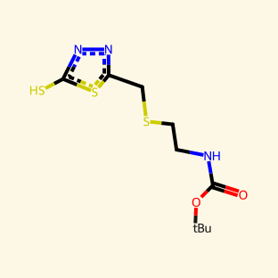 CC(C)(C)OC(=O)NCCSCc1nnc(S)s1